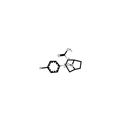 CC(=O)[C@@H]1C2CCC(C[C@@H]1c1ccc(F)cc1)N2C